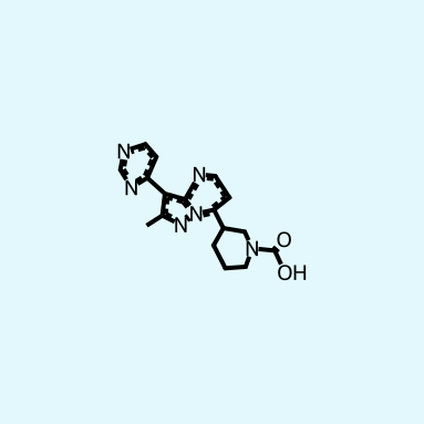 Cc1nn2c(C3CCCN(C(=O)O)C3)ccnc2c1-c1ccncn1